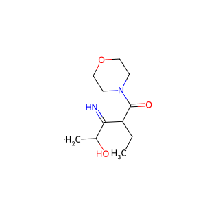 [CH2]C(O)C(=N)C(CC)C(=O)N1CCOCC1